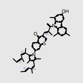 C=C(/C(C)=C/c1csc2cc(-n3c(C)c(/C=C(C)\C=C\C)c(C)c3/C(C)=C\C(C)=C/C)ccc2c1=O)n1c2c(C)cc(C)cc2c2cc(O)cc(C)c21